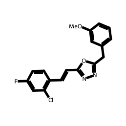 COc1cccc(Cc2nnc(/C=C/c3ccc(F)cc3Cl)o2)c1